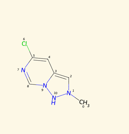 CN1C=C2C=C(Cl)N=CN2N1